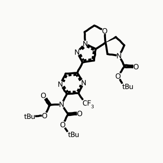 CC(C)(C)OC(=O)N1CC[C@]2(C1)OCCn1nc(-c3cnc(N(C(=O)OC(C)(C)C)C(=O)OC(C)(C)C)c(C(F)(F)F)n3)cc12